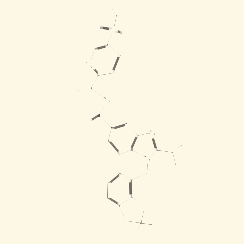 CCS(=O)(=O)c1ccc([C@@H](CO)NC(=O)c2ccc3c(c2)nc(C(F)F)n3Cc2cccc3c2OC(F)(F)O3)nc1